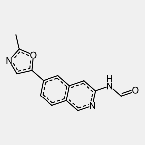 Cc1ncc(-c2ccc3cnc(NC=O)cc3c2)o1